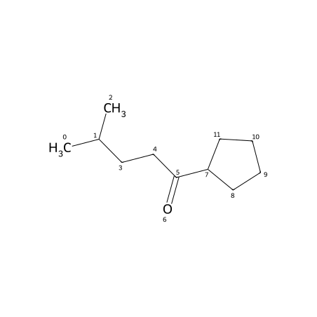 CC(C)CCC(=O)C1CCCC1